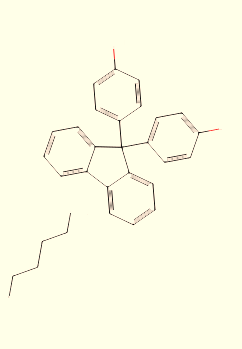 O=C(O)CCCCC(=O)O.Oc1ccc(C2(c3ccc(O)cc3)c3ccccc3-c3ccccc32)cc1